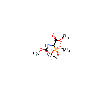 COC(=O)NC(C(=O)OC)P(=O)(OC)OC